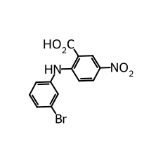 O=C(O)c1cc([N+](=O)[O-])ccc1Nc1cccc(Br)c1